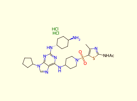 CC(=O)Nc1nc(C)c(S(=O)(=O)N2CCC(Nc3nc(N[C@H]4CC[C@H](N)CC4)nc4c3ncn4C3CCCC3)CC2)s1.Cl.Cl